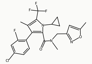 Cc1cc(CN(C)C(=O)c2c(-c3ccc(Cl)cc3F)c(C)c(C(F)(F)F)n2C2CC2)no1